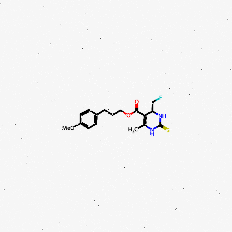 COc1ccc(CCCOC(=O)C2=C(C)NC(=S)NC2CF)cc1